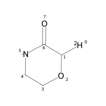 [2H]C1OCC[N]C1=O